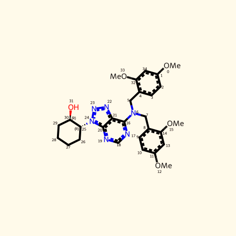 COc1ccc(CN(Cc2ccc(OC)cc2OC)c2ncnc3c2nnn3[C@@H]2CCCC[C@H]2O)c(OC)c1